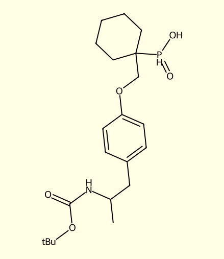 CC(Cc1ccc(OCC2([PH](=O)O)CCCCC2)cc1)NC(=O)OC(C)(C)C